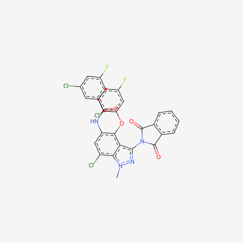 Cn1nc(N2C(=O)c3ccccc3C2=O)c2c(Oc3cc(F)ccc3Cl)c(NC(=O)c3cc(F)cc(Cl)c3)cc(Cl)c21